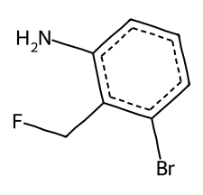 Nc1cccc(Br)c1CF